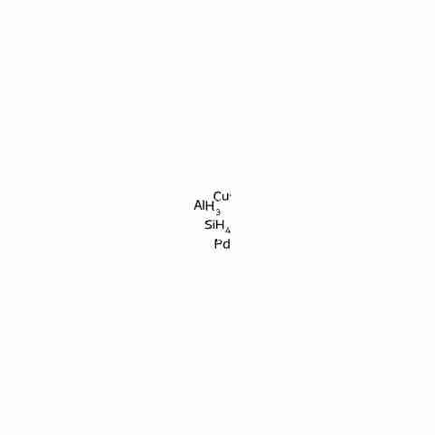 [AlH3].[Cu].[Pd].[SiH4]